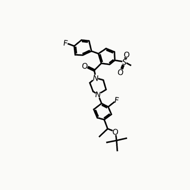 CC(OC(C)(C)C)c1ccc(N2CCN(C(=O)c3cc(S(C)(=O)=O)ccc3-c3ccc(F)cc3)CC2)c(F)c1